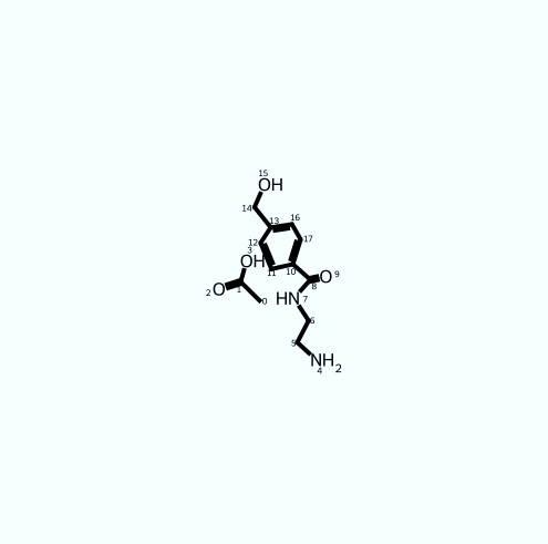 CC(=O)O.NCCNC(=O)c1ccc(CO)cc1